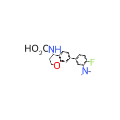 CN(C)c1cc(-c2ccc3c(c2)OCCC3NC(=O)O)ccc1F